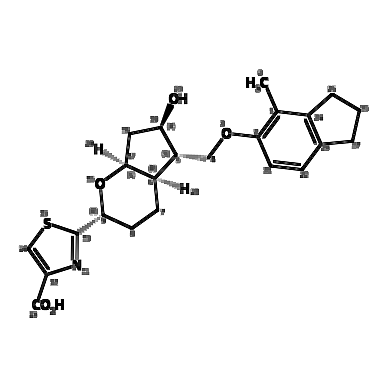 Cc1c(OC[C@@H]2[C@H]3CC[C@H](c4nc(C(=O)O)cs4)O[C@H]3C[C@H]2O)ccc2c1CCC2